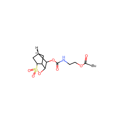 CCC(C)C(=O)OCCNC(=O)OC1C2OS(=O)(=O)C3C[C@@H]1CC23